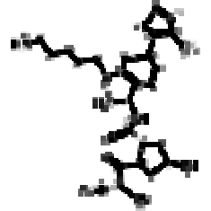 CC(=O)N[C@H](C(=O)N1C[C@H](O)C[C@H]1C(=O)N[C@@H](C)c1ccc(-c2scnc2C)cc1OCCCCCN)C(C)(C)C